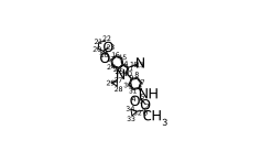 CC(OC(=O)Nc1ccc(-c2c(C#N)c3ccc(OC4CCCO4)cc3n2C2CC2)cc1)C1CC1